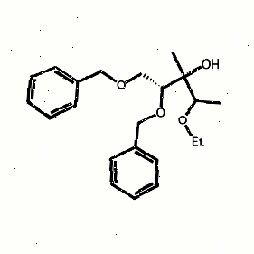 CCOC(C)C(C)(O)[C@@H](COCc1ccccc1)OCc1ccccc1